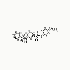 COc1ccc(CNC(=O)c2cccc(NS(=O)(=O)c3cccnc3)c2)cc1